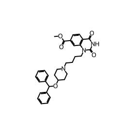 COC(=O)c1ccc2c(=O)[nH]c(=O)n(CCCCN3CCC(OC(c4ccccc4)c4ccccc4)CC3)c2c1